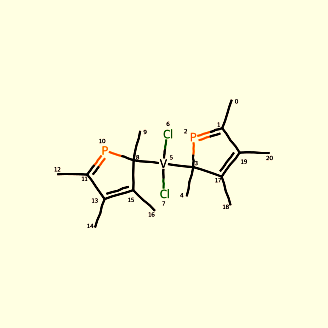 CC1=P[C](C)([V]([Cl])([Cl])[C]2(C)P=C(C)C(C)=C2C)C(C)=C1C